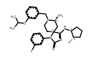 CC(C)Oc1cccc(CN2CC[C@@]3(C[C@@H]2C)C(N[C@H]2CCC[C@@H]2F)=NC(=O)N3c2cccc(F)c2)c1